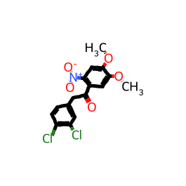 COc1cc(C(=O)Cc2ccc(Cl)c(Cl)c2)c([N+](=O)[O-])cc1OC